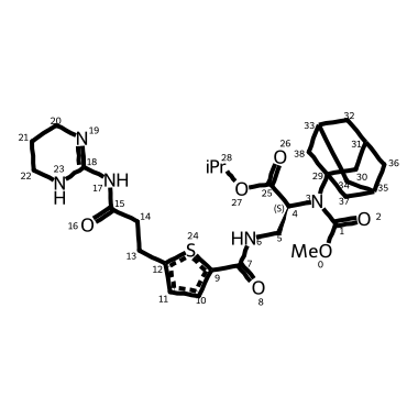 COC(=O)N([C@@H](CNC(=O)c1ccc(CCC(=O)NC2=NCCCN2)s1)C(=O)OC(C)C)C12CC3CC(CC(C3)C1)C2